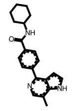 Cc1cnc(-c2ccc(C(=O)NC3CCCCC3)cc2)c2cc[nH]c12